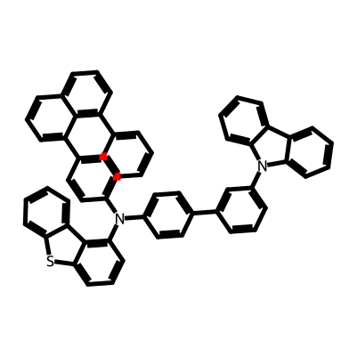 c1ccc(-c2cccc3cccc(-c4ccc(N(c5ccc(-c6cccc(-n7c8ccccc8c8ccccc87)c6)cc5)c5cccc6sc7ccccc7c56)cc4)c23)cc1